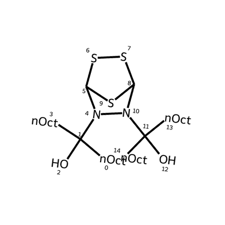 CCCCCCCCC(O)(CCCCCCCC)N1C2SSC(S2)N1C(O)(CCCCCCCC)CCCCCCCC